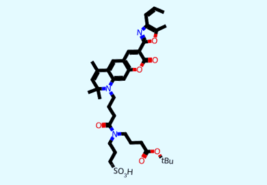 C/C=C\c1nc(-c2cc3cc4c(cc3oc2=O)N(CCCC(=O)N(CCCC(=O)OC(C)(C)C)CCCS(=O)(=O)O)C(C)(C)C=C4C)oc1C